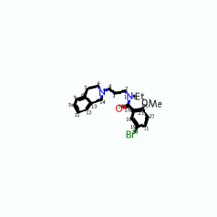 CCN(CCCN1CCc2ccccc2C1)C(=O)c1cc(Br)ccc1OC